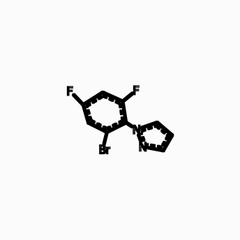 Fc1cc(F)c(-n2cccn2)c(Br)c1